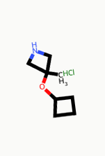 CC1(OC2CCC2)CNC1.Cl